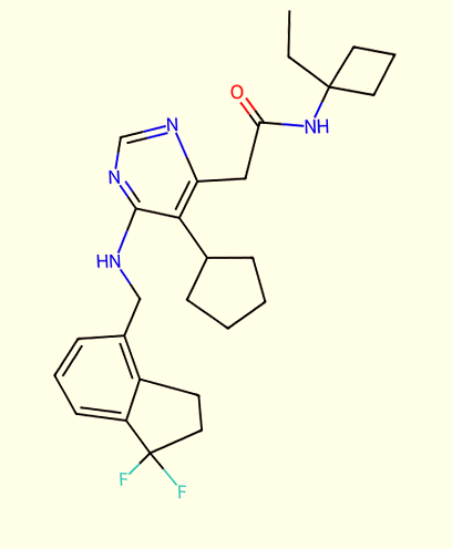 CCC1(NC(=O)Cc2ncnc(NCc3cccc4c3CCC4(F)F)c2C2CCCC2)CCC1